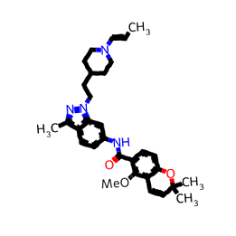 CC=CN1CCC(CCn2nc(C)c3ccc(NC(=O)c4ccc5c(c4OC)C=CC(C)(C)O5)cc32)CC1